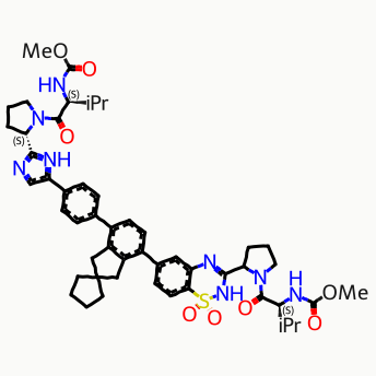 COC(=O)N[C@H](C(=O)N1CCCC1C1=Nc2cc(-c3ccc(-c4ccc(-c5cnc([C@@H]6CCCN6C(=O)[C@@H](NC(=O)OC)C(C)C)[nH]5)cc4)c4c3CC3(CCCC3)C4)ccc2S(=O)(=O)N1)C(C)C